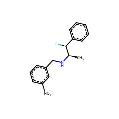 C[C@@H](NCc1cccc([N+](=O)[O-])c1)[C@@H](F)c1ccccc1